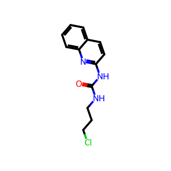 O=C(NCCCCl)Nc1ccc2ccccc2n1